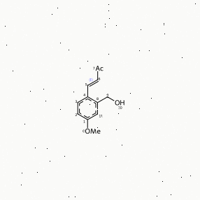 COc1ccc(/C=C/C(C)=O)c(CO)c1